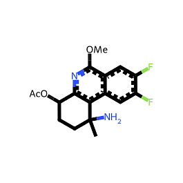 COc1nc2c(c3cc(F)c(F)cc13)C(C)(N)CCC2OC(C)=O